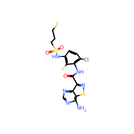 Nc1ncnc2c(C(=O)Nc3c(Cl)ccc(NS(=O)(=O)CCCF)c3F)nsc12